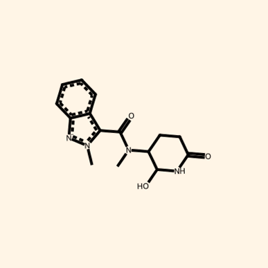 CN(C(=O)c1c2ccccc2nn1C)C1CCC(=O)NC1O